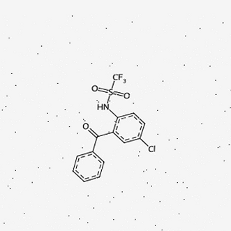 O=C(c1ccccc1)c1cc(Cl)ccc1NS(=O)(=O)C(F)(F)F